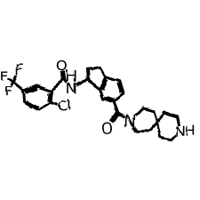 O=C(NC1CCc2ccc(C(=O)N3CCC4(CCNCC4)CC3)cc21)c1cc(C(F)(F)F)ccc1Cl